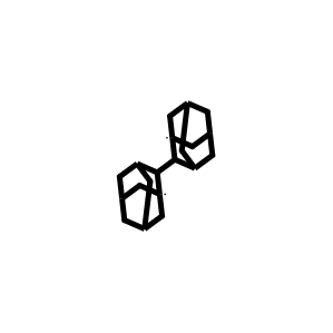 C1[C]2CC3CC1CC(C3)C2C1[C]2CC3CC(C2)CC1C3